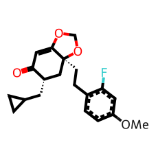 COc1ccc(CC[C@]23C[C@H](CC4CC4)C(=O)C=C2OCO3)c(F)c1